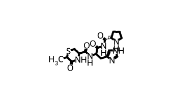 CC1SCC(C(=O)NC(Cc2c[nH]cn2)C(=O)NC(=O)[C@@H]2CCCN2)NC1=O